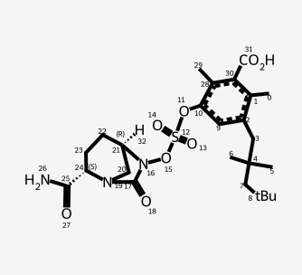 Cc1c(CC(C)(C)CC(C)(C)C)cc(OS(=O)(=O)ON2C(=O)N3C[C@H]2CC[C@H]3C(N)=O)c(C)c1C(=O)O